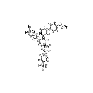 CC(C)Oc1ccc(-c2ccnc(N(CC34CCC(c5ccc(C(C)(F)F)cn5)(CC3)CC4)C(=O)C3CC(C)(OC(F)F)C3)c2)cc1